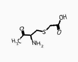 CC(=O)C(N)CSCC(=O)O